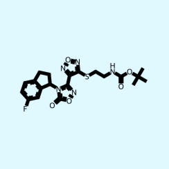 CC(C)(C)OC(=O)NCCSc1nonc1-c1noc(=O)n1C1CCc2ccc(F)cc21